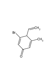 C=CC1C(C)=CC(=O)C=C1Br